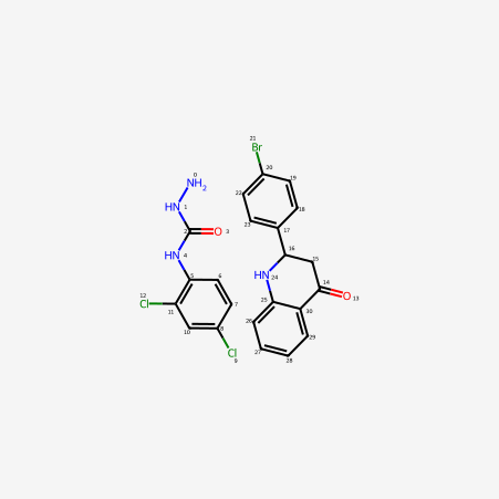 NNC(=O)Nc1ccc(Cl)cc1Cl.O=C1CC(c2ccc(Br)cc2)Nc2ccccc21